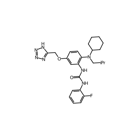 CC(C)CN(c1ccc(OCc2nnn[nH]2)cc1NC(=O)Nc1ccccc1F)C1CCCCC1